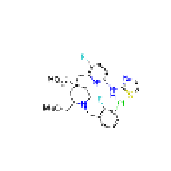 COCC1CC(Cc2nc(Nc3nccs3)ccc2F)(C(=O)O)CCN1Cc1cccc(Cl)c1F